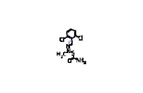 CN(/N=C/c1c(Cl)cccc1Cl)SC(N)=O